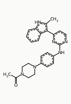 CC(=O)N1CCN(c2ccc(Nc3nccc(-c4c(C)[nH]c5ccccc45)n3)cc2)CC1